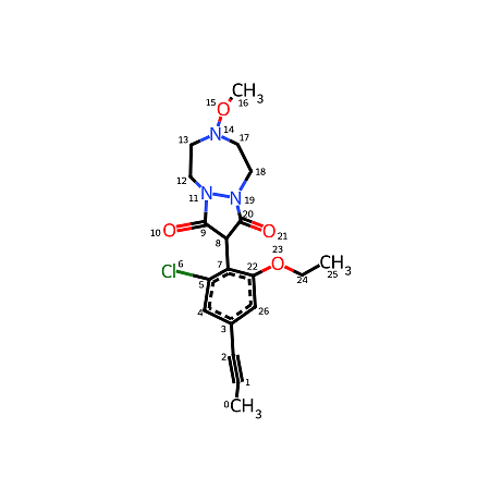 CC#Cc1cc(Cl)c(C2C(=O)N3CCN(OC)CCN3C2=O)c(OCC)c1